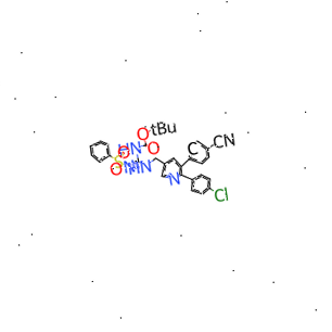 CC(C)(C)OC(=O)N/C(=N\S(=O)(=O)c1ccccc1)NCc1cnc(-c2ccc(Cl)cc2)c(-c2ccc(C#N)cc2)c1